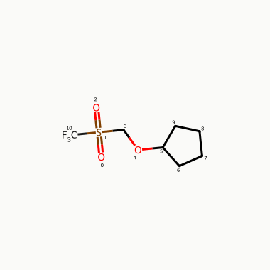 O=S(=O)(COC1CCCC1)C(F)(F)F